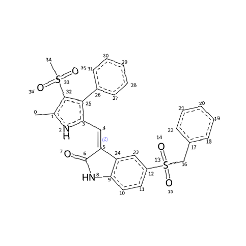 Cc1[nH]c(/C=C2\C(=O)Nc3ccc(S(=O)(=O)Cc4ccccc4)cc32)c(-c2ccccc2)c1S(C)(=O)=O